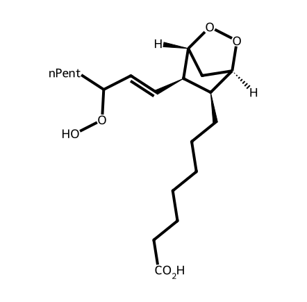 CCCCCC(C=C[C@@H]1[C@H](CCCCCCC(=O)O)[C@H]2C[C@H]1OO2)OO